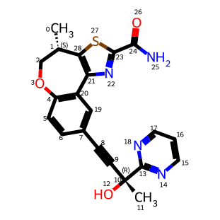 C[C@H]1COc2ccc(C#C[C@@](C)(O)c3ncccn3)cc2-c2nc(C(N)=O)sc21